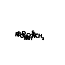 Cc1csc(-c2ccc3c(C(=O)OC4CN5CCC4CC5)n[nH]c3c2)n1